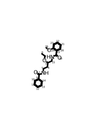 CCOC(CCNC(=O)c1ccccc1)CNC(=O)c1ccccc1OC